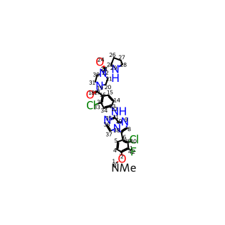 CNCOc1ccc(-c2cnc3c(Nc4ccc(C(=O)N5CCN(C(=O)[C@@H]6CCCN6)CC5)c(Cl)c4)nccn23)c(Cl)c1F